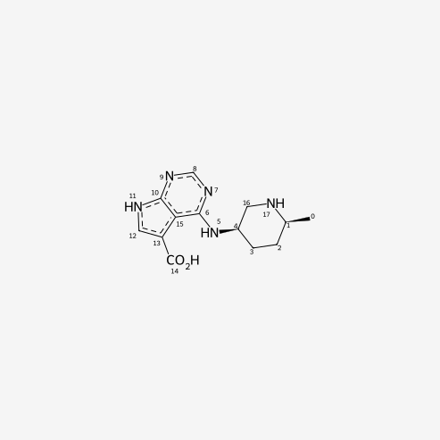 C[C@H]1CC[C@@H](Nc2ncnc3[nH]cc(C(=O)O)c23)CN1